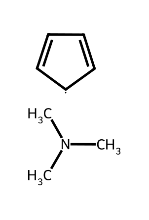 CN(C)C.[CH]1C=CC=C1